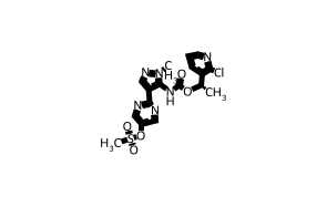 C[C@@H](OC(=O)Nc1c(-c2ncc(OS(C)(=O)=O)cn2)cnn1C)c1cccnc1Cl